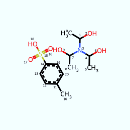 CC(O)N(C(C)O)C(C)O.Cc1ccc(S(=O)(=O)O)cc1